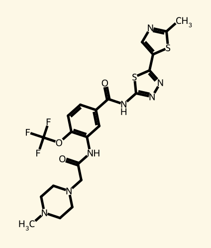 Cc1ncc(-c2nnc(NC(=O)c3ccc(OC(F)(F)F)c(NC(=O)CN4CCN(C)CC4)c3)s2)s1